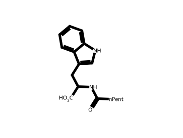 CCCCCC(=O)NC(Cc1c[nH]c2ccccc12)C(=O)O